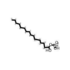 CCCCCCCCCCCCCCCC(O)O[PH](=O)O